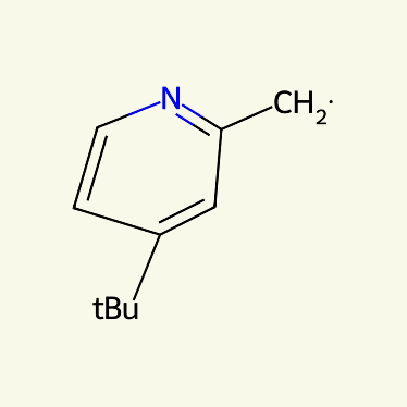 [CH2]c1cc(C(C)(C)C)ccn1